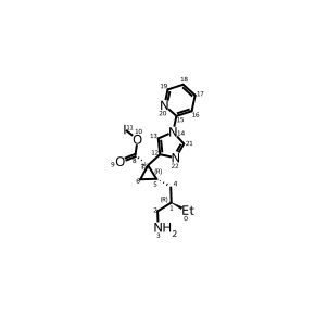 CC[C@@H](CN)C[C@@H]1C[C@@]1(C(=O)OI)c1cn(-c2ccccn2)cn1